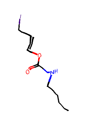 CCCCNC(=O)OC=CCI